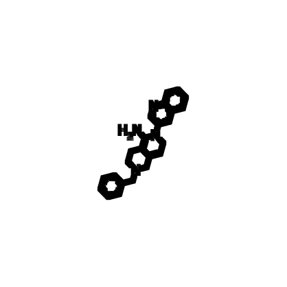 NC1=C2CCN(Cc3ccccc3)CC2=CCN1c1cnc2ccccc2c1